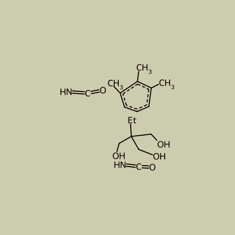 CCC(CO)(CO)CO.Cc1cccc(C)c1C.N=C=O.N=C=O